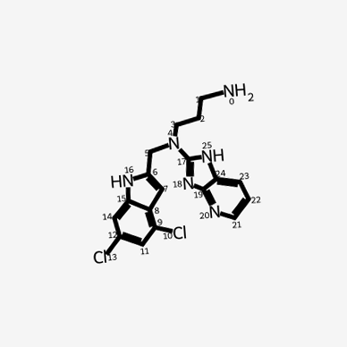 NCCCN(Cc1cc2c(Cl)cc(Cl)cc2[nH]1)c1nc2ncccc2[nH]1